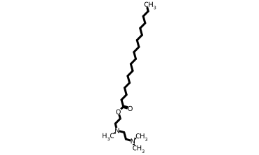 CCCCCCCCCCCCCCCCCC(=O)OCCN(C)CCN(C)C